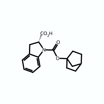 O=C(O)[C@H]1Cc2ccccc2N1C(=O)OC12CCC(CC1)C2